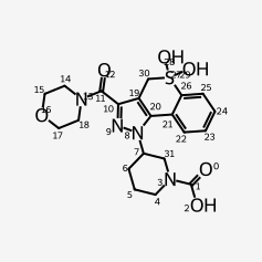 O=C(O)N1CCCC(n2nc(C(=O)N3CCOCC3)c3c2-c2ccccc2S(O)(O)C3)C1